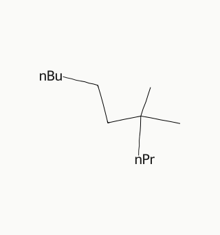 C[CH]CC(C)(C)CCCCCC